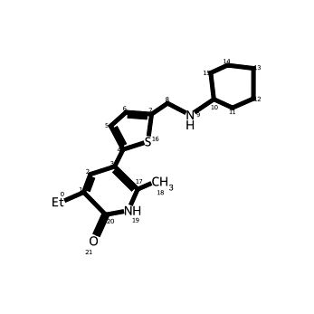 CCc1cc(-c2ccc(CNC3CCCCC3)s2)c(C)[nH]c1=O